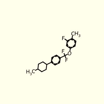 Cc1ccc(OC(F)(F)c2ccc(C3CCC(C)CC3)cc2)cc1F